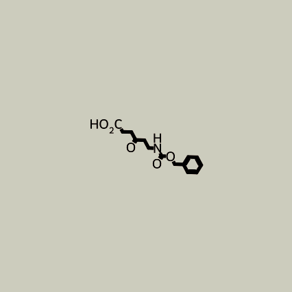 O=C(O)CCC(=O)CCNC(=O)OCc1ccccc1